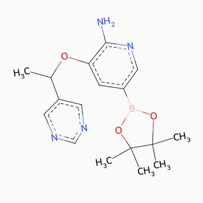 CC(Oc1cc(B2OC(C)(C)C(C)(C)O2)cnc1N)c1cncnc1